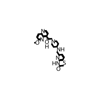 COc1ccc2nccc([C@H](O)CN3CCC(NCc4ccc5c(n4)NC(=O)CS5)CC3)c2n1